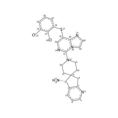 N[C@H]1c2cccnc2CC12CCN(c1ncc(Sc3cccc(Cl)c3Cl)c3nccn13)CC2